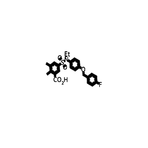 CCN(c1ccc(OCc2ccc(F)cc2)cc1)S(=O)(=O)c1cc(C)c(C)c(C(=O)O)c1